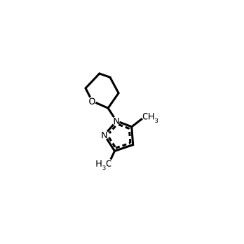 Cc1cc(C)n(C2CCCCO2)n1